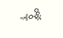 NS(=O)(=O)c1ccc(-n2nc(C(F)(F)F)c3sc4ccccc4c32)cc1